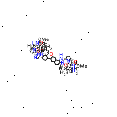 BC(B)(B)C(B)(B)[C@](B)(NC(=O)OC)C(=O)N1[C@@H](C)CC[C@H]1c1nc2ccc3cc4c(cc3c2[nH]1)OCc1cc(-c2cnc([C@@H]3CC[C@H](C)N3C(=O)[C@@](B)(NC(=O)OC)C(B)(C(B)(B)B)C(B)(B)B)[nH]2)ccc1-4